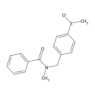 CN(Cc1ccc([S+](C)[O-])cc1)C(=O)c1ccccc1